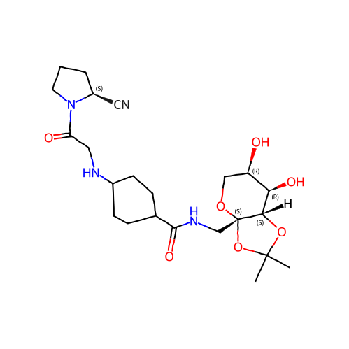 CC1(C)O[C@H]2[C@H](O)[C@H](O)CO[C@@]2(CNC(=O)C2CCC(NCC(=O)N3CCC[C@H]3C#N)CC2)O1